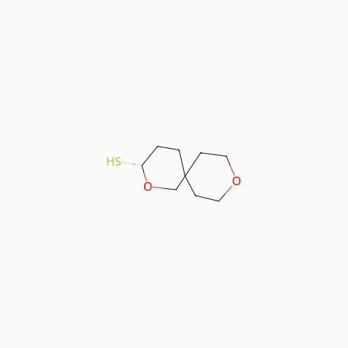 S[C@@H]1CCC2(CCOCC2)CO1